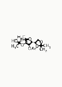 CC(=O)O[C@H]1[C@@H](C2COC(C)(C)O2)OC(C)[C@@H]1OC(C)(C)O